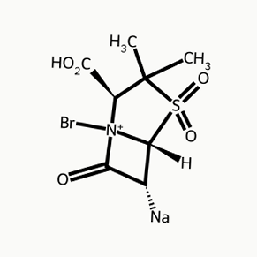 CC1(C)[C@H](C(=O)O)[N+]2(Br)C(=O)[C@@H]([Na])[C@H]2S1(=O)=O